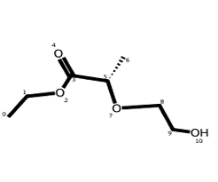 CCOC(=O)[C@H](C)OCCO